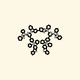 c1ccc([Si](c2ccccc2)(c2ccc(-c3cc(-n4c5ccccc5c5cc(-c6ccc7c(c6)nc6n(-c8cc(-c9ccc([Si](c%10ccccc%10)(c%10ccccc%10)c%10ccc%11sc%12ccccc%12c%11c%10)cc9)cc(-n9c%10ccccc%10n%10c%11ccccc%11nc9%10)n8)c8ccccc8n76)ccc54)nc(-n4c5ccccc5n5c6ccccc6nc45)c3)cc2)c2ccc3sc4ccccc4c3c2)cc1